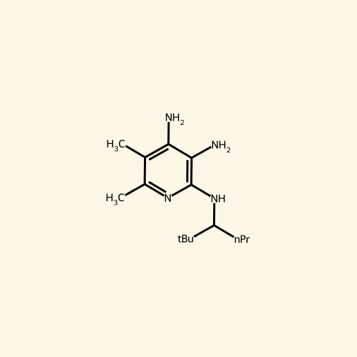 CCCC(Nc1nc(C)c(C)c(N)c1N)C(C)(C)C